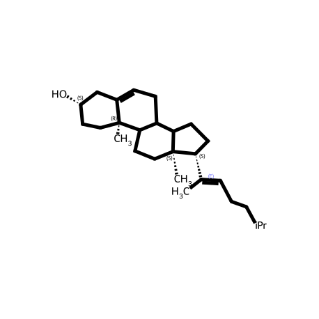 C/C(=C\CCC(C)C)[C@H]1CCC2C3CC=C4C[C@@H](O)CC[C@]4(C)C3CC[C@@]21C